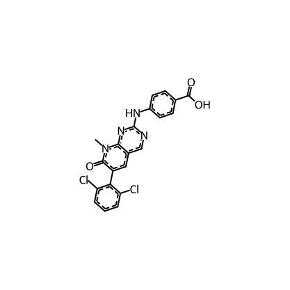 Cn1c(=O)c(-c2c(Cl)cccc2Cl)cc2cnc(Nc3ccc(C(=O)O)cc3)nc21